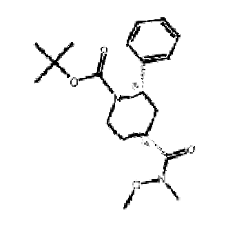 CON(C)C(=O)[C@@H]1CCN(C(=O)OC(C)(C)C)[C@H](c2ccccc2)C1